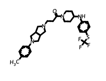 Cc1ccc(N2CC3CN(CCC(=O)N4CCC(Nc5ccc(SC(F)(F)F)cc5)CC4)CC3C2)cc1